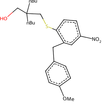 CCCCC(CO)(CCCC)CSc1ccc([N+](=O)[O-])cc1Cc1ccc(OC)cc1